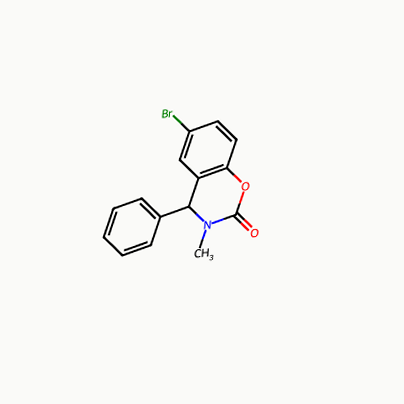 CN1C(=O)Oc2ccc(Br)cc2C1c1ccccc1